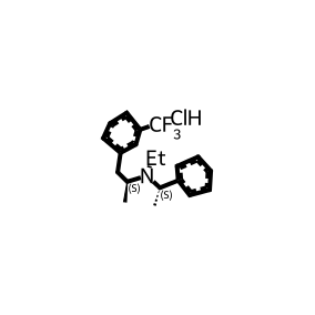 CCN([C@@H](C)Cc1cccc(C(F)(F)F)c1)[C@@H](C)c1ccccc1.Cl